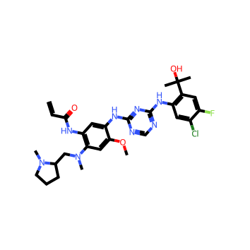 C=CC(=O)Nc1cc(Nc2ncnc(Nc3cc(Cl)c(F)cc3C(C)(C)O)n2)c(OC)cc1N(C)CC1CCCN1C